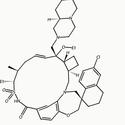 CCO[C@@]1(CN2CCN3CCCC[C@@H]3C2)/C=C/C[C@H](C)[C@@H](CC)S(=O)(=O)NC(=O)c2ccc3c(c2)N(C[C@@H]2CC[C@H]21)C[C@@]1(CCCc2cc(Cl)ccc21)CO3